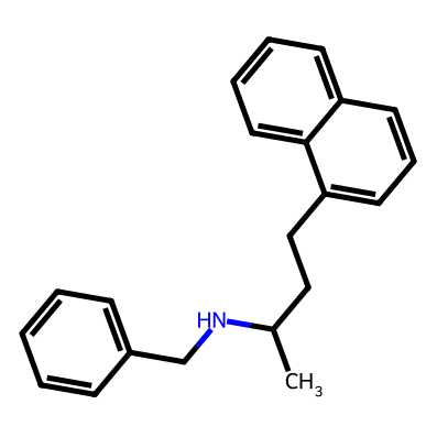 CC(CCc1cccc2ccccc12)NCc1ccccc1